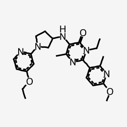 CCOc1ccnc(N2CCC(Nc3c(C)nc(-c4ccc(OC)nc4C)n(CC)c3=O)C2)c1